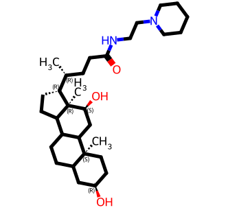 C[C@H](CCC(=O)NCCN1CCCCC1)[C@H]1CCC2C3CCC4C[C@H](O)CC[C@]4(C)C3C[C@H](O)[C@@]21C